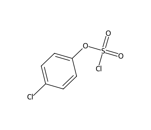 O=S(=O)(Cl)Oc1ccc(Cl)cc1